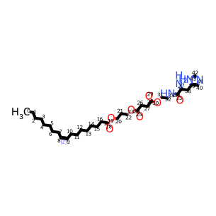 CCCCCCCC/C=C\CCCCCCCC(=O)OCCCOC(=O)CCC(=O)OCCNC(=O)C(N)Cc1cnc[nH]1